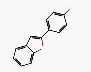 Nc1ccc(-c2cc3ccccc3o2)cc1